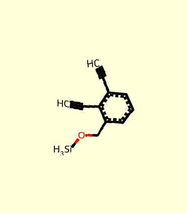 C#Cc1cccc(CO[SiH3])c1C#C